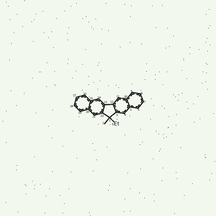 CCC1(C)c2cc3ccccc3cc2-c2cc3ccccc3cc21